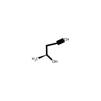 C#CC[C@H](C)O